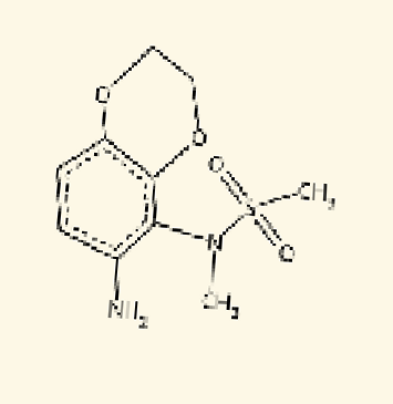 CN(c1c(N)ccc2c1OCCO2)S(C)(=O)=O